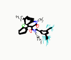 Cc1ccc2c(c1)c(-c1ccccc1Cl)c(C(=O)N(C)Cc1cc(C(F)(F)F)cc(C(F)(F)F)c1)c(=O)n2C